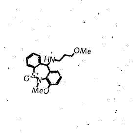 COCCCNC1c2ccccc2[S+]([O-])N(C)c2c(OC)cccc21